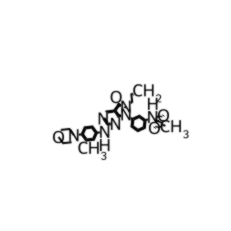 C=CCn1c(=O)c2cnc(Nc3ccc(N4CCOCC4)c(C)c3)nc2n1-c1cccc(NS(C)(=O)=O)c1